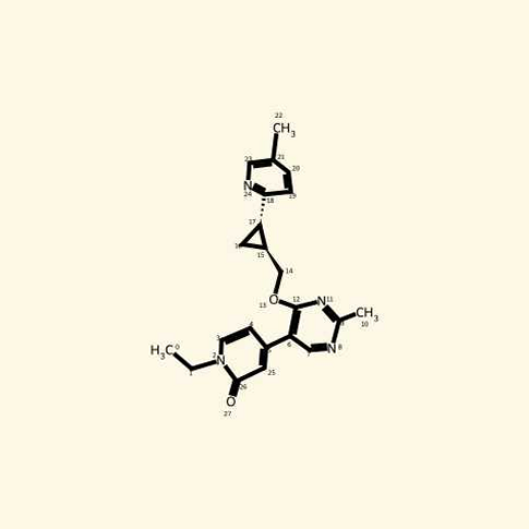 CCn1ccc(-c2cnc(C)nc2OC[C@H]2C[C@@H]2c2ccc(C)cn2)cc1=O